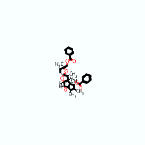 CC1C(C)[C@@]23O[C@@H]2[C@@H]2O[C@]4(CC[C@@](C)(COC(=O)c5ccccc5)O4)[C@@H](C)[C@@H]2[C@@]3(C)[C@@H]1OC(=O)c1ccccc1